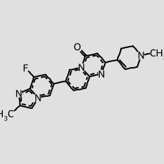 Cc1cn2cc(-c3ccc4nc(C5=CCN(C)CC5)cc(=O)n4c3)cc(F)c2n1